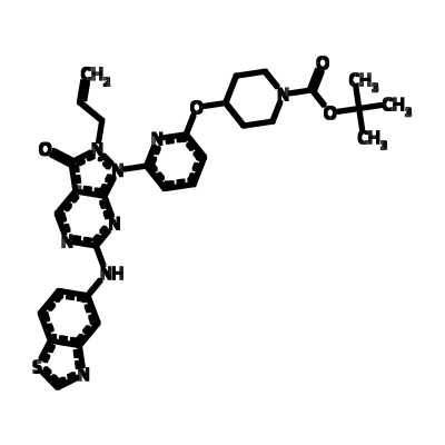 C=CCn1c(=O)c2cnc(Nc3ccc4scnc4c3)nc2n1-c1cccc(OC2CCN(C(=O)OC(C)(C)C)CC2)n1